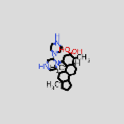 CC1[C@@H]2CCC3C4CCC[C@@]4(C)CCC3[C@@]2(C)C(N2CCNC[C@@H]2N2CCNCC2)CC1(O)O